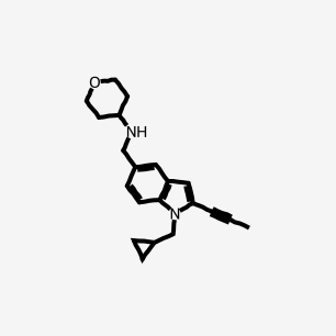 CC#Cc1cc2cc(CNC3CCOCC3)ccc2n1CC1CC1